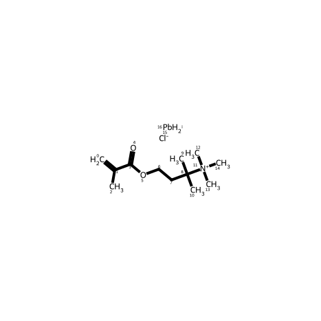 C=C(C)C(=O)OCCC(C)(C)[N+](C)(C)C.[Cl-].[PbH2]